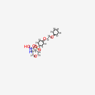 O=C(NO)C1(S(=O)(=O)c2ccc(OCCOc3ccccc3)cc2)CCOCC1